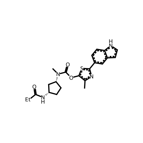 CCC(=O)N[C@H]1CC[C@@H](N(C)C(=O)Oc2sc(-c3ccc4[nH]ccc4c3)nc2C)C1